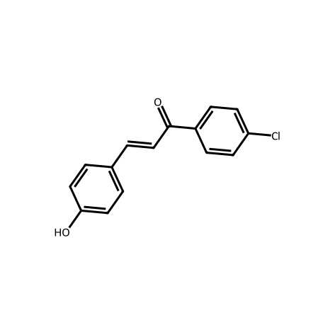 O=C(C=Cc1ccc(O)cc1)c1ccc(Cl)cc1